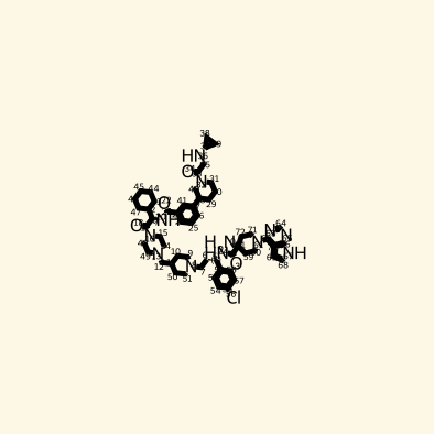 NC1(C(=O)N[C@@H](CCN2CCC(CN3CCN(C(=O)[C@H](NC(=O)c4cccc(C5CCCN(C(=O)CNC6CC6)C5)c4)C4CCCCC4)CC3)CC2)c2ccc(Cl)cc2)CCN(c2ncnc3[nH]ccc23)CC1